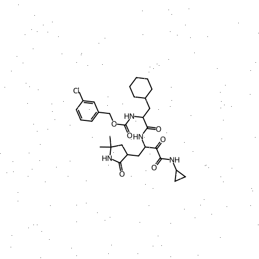 CC1(C)CC(CC(NC(=O)C(CC2CCCCC2)NC(=O)OCc2cccc(Cl)c2)C(=O)C(=O)NC2CC2)C(=O)N1